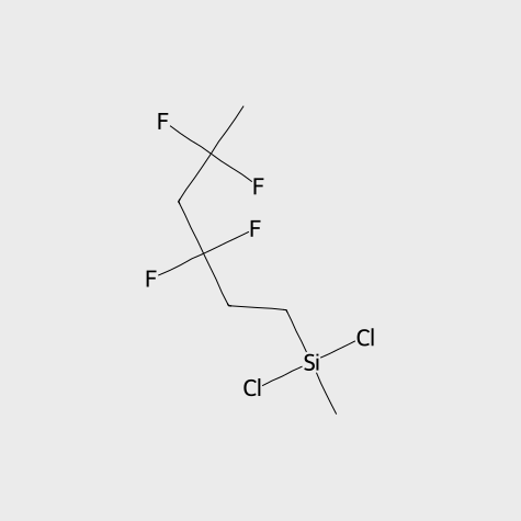 CC(F)(F)CC(F)(F)CC[Si](C)(Cl)Cl